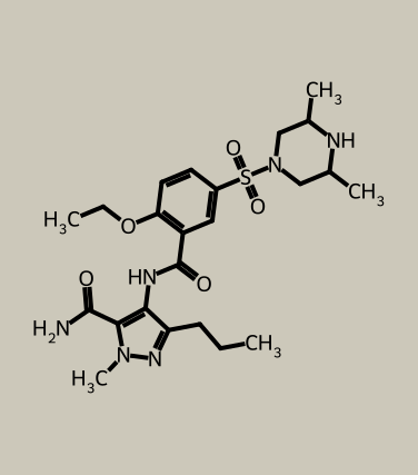 CCCc1nn(C)c(C(N)=O)c1NC(=O)c1cc(S(=O)(=O)N2CC(C)NC(C)C2)ccc1OCC